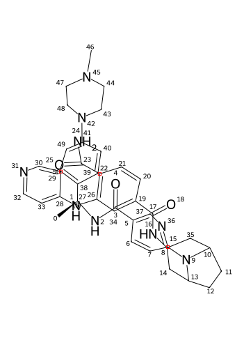 C[C@H](NC(=O)c1ccc(N2C3CCC2CC(NC(=O)c2ccc(C(N)=O)c(Nc4ccncc4)c2)C3)nc1)c1ccc(N2CCN(C)CC2)cc1